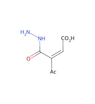 CC(=O)C(=CC(=O)O)C(=O)NN